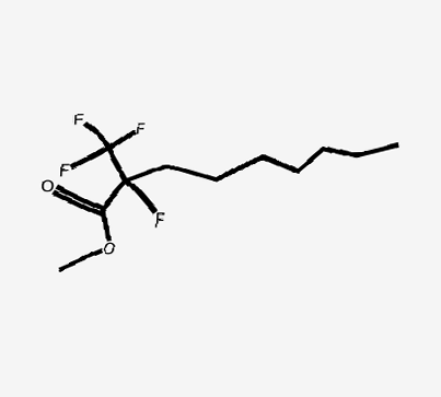 CCCCCCCC(F)(C(=O)OC)C(F)(F)F